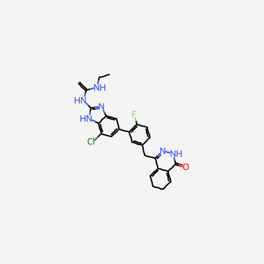 C=C(NCC)Nc1nc2cc(-c3cc(Cc4n[nH]c(=O)c5c4=CCCC=5)ccc3F)cc(Cl)c2[nH]1